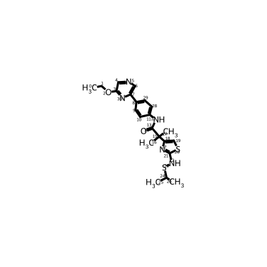 CCOc1cncc(-c2ccc(NC(=O)C(C)(C)c3csc(NSC(C)C)n3)cc2)n1